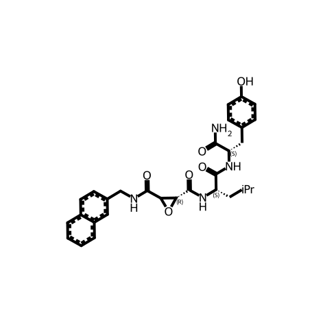 CC(C)C[C@H](NC(=O)[C@@H]1OC1C(=O)NCc1ccc2ccccc2c1)C(=O)N[C@@H](Cc1ccc(O)cc1)C(N)=O